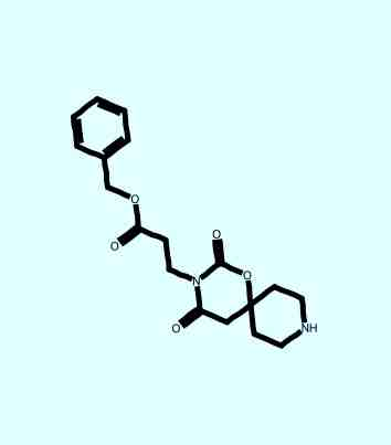 O=C(CCN1C(=O)CC2(CCNCC2)OC1=O)OCc1ccccc1